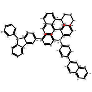 c1ccc(-n2c3ccccc3c3cc(-c4ccc(N(c5ccc(-c6ccc7ccccc7c6)cc5)c5ccccc5-c5cccc6cccc(C7CCCCC7)c56)cc4)ccc32)cc1